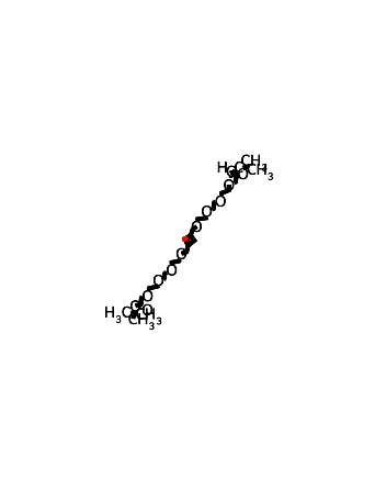 CC(C)(C)OC(=O)COCCOCCOCCOCC12CC(COCCOCCOCCOCC(=O)OC(C)(C)C)(C1)C2